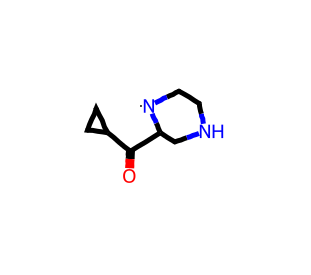 O=C(C1CC1)C1CNCC[N]1